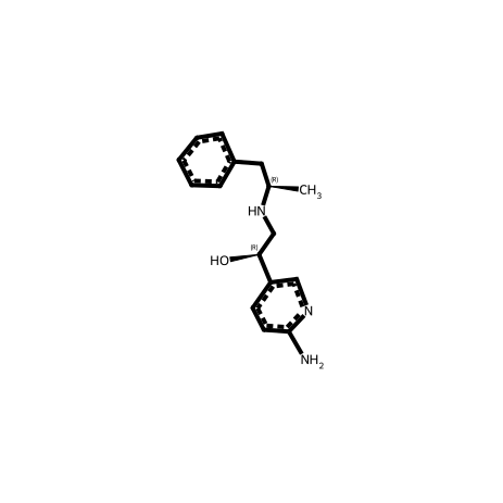 C[C@H](Cc1ccccc1)NC[C@H](O)c1ccc(N)nc1